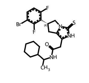 CC(NC(=O)Cc1[nH]c(=S)n2c1C[C@H](c1c(F)ccc(Br)c1F)C2)C1CCCCC1